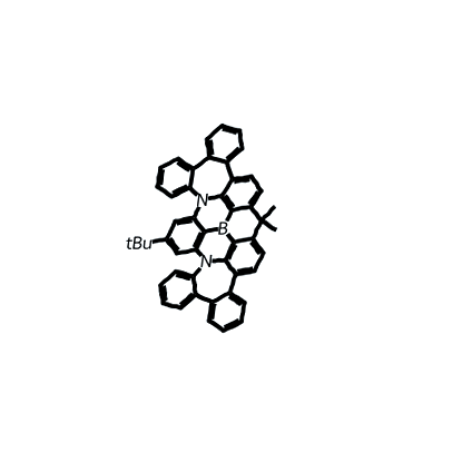 CC(C)(C)c1cc2c3c(c1)N1c4ccccc4-c4ccccc4-c4ccc5c(c41)B3c1c(ccc3c1N2c1ccccc1-c1ccccc1-3)C5(C)C